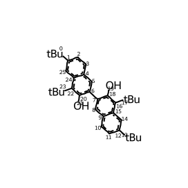 CC(C)(C)c1ccc2cc(-c3cc4ccc(C(C)(C)C)cc4c(C(C)(C)C)c3O)c(O)c(C(C)(C)C)c2c1